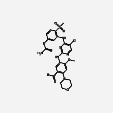 COc1cc(N2CCOCC2)c([N+](=O)[O-])cc1Nc1ncc(Cl)c(Nc2cc(OC(N)=O)ccc2S(C)(=O)=O)n1